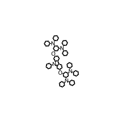 c1ccc(N(c2ccccc2)c2cc(Oc3ccc4c5ccc(Oc6cc(N(c7ccccc7)c7ccccc7)cc(N(c7ccccc7)c7ccccc7)c6)cc5n(-c5ccccc5)c4c3)cc(N(c3ccccc3)c3ccccc3)c2)cc1